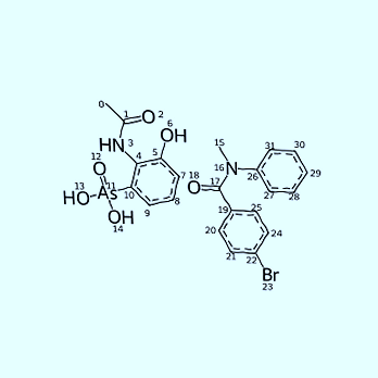 CC(=O)Nc1c(O)cccc1[As](=O)(O)O.CN(C(=O)c1ccc(Br)cc1)c1ccccc1